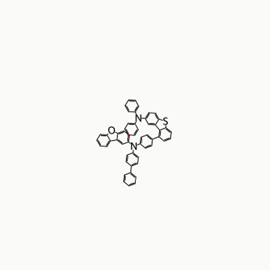 c1ccc(-c2ccc(N(c3ccc(-c4cccc5sc6ccc(N(c7ccccc7)c7ccccc7)cc6c45)cc3)c3ccc4oc5ccccc5c4c3)cc2)cc1